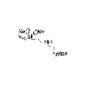 CCCCCCCCCCCCNCCC[Si](OC)(OC)OC